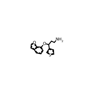 NCCC(Oc1cccc2ccoc12)c1ccsc1